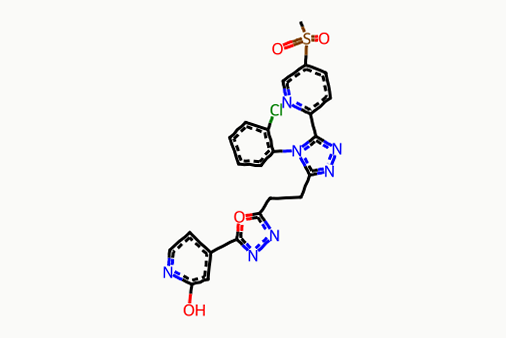 CS(=O)(=O)c1ccc(-c2nnc(CCc3nnc(-c4ccnc(O)c4)o3)n2-c2ccccc2Cl)nc1